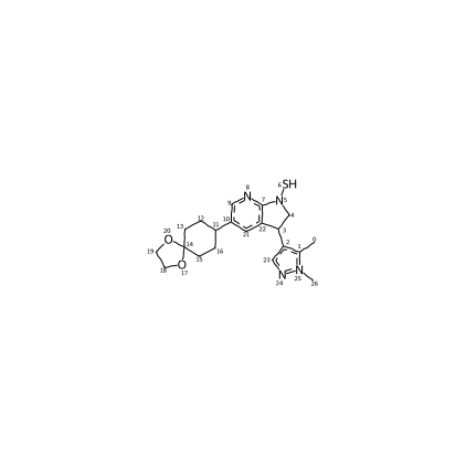 Cc1c(C2CN(S)c3ncc(C4CCC5(CC4)OCCO5)cc32)cnn1C